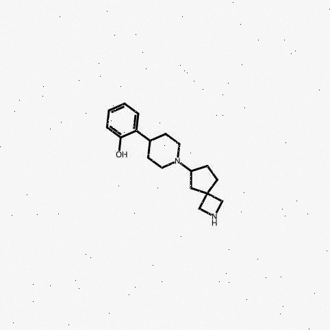 Oc1ccccc1C1CCN(C2CCC3(CNC3)C2)CC1